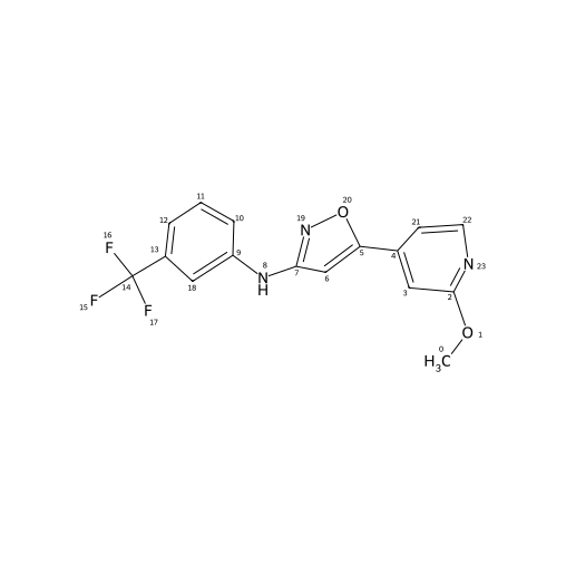 COc1cc(-c2cc(Nc3cccc(C(F)(F)F)c3)no2)ccn1